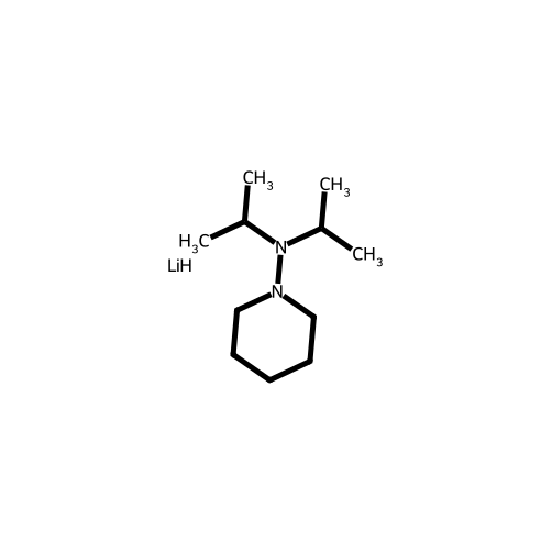 CC(C)N(C(C)C)N1CCCCC1.[LiH]